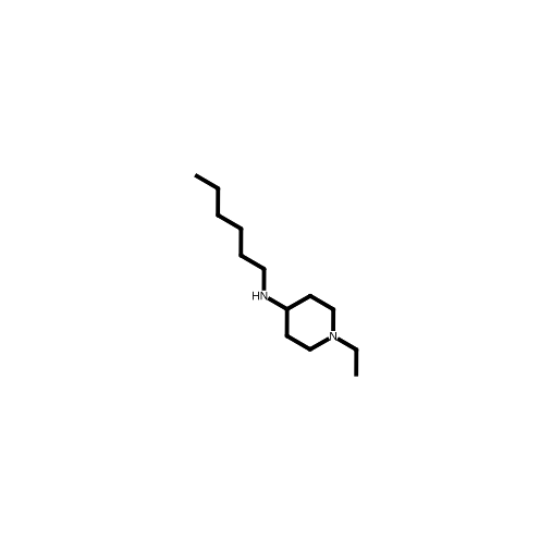 CCCCCCNC1CCN(CC)CC1